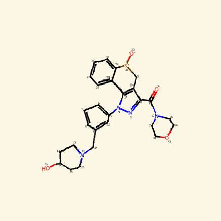 O=C(c1nn(-c2cccc(CN3CCC(O)CC3)c2)c2c1C[S+]([O-])c1ccccc1-2)N1CCOCC1